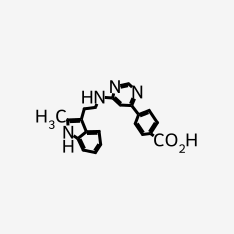 Cc1[nH]c2ccccc2c1CCNc1cc(-c2ccc(C(=O)O)cc2)ncn1